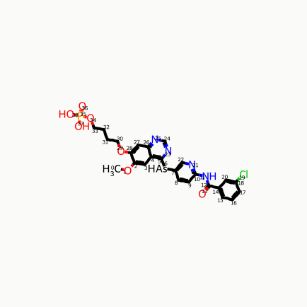 COc1cc2c([AsH]c3ccc(NC(=O)c4cccc(Cl)c4)nc3)ncnc2cc1OCCCCOP(=O)(O)O